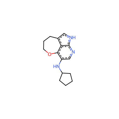 c1nc2[nH]cc3c2c(c1NC1CCCC1)OCCC3